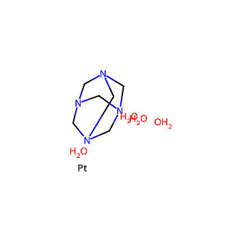 C1N2CN3CN1CN(C2)C3.O.O.O.O.[Pt]